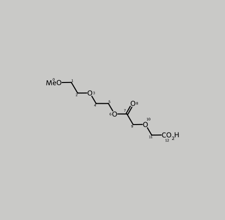 COCCOCCOC(=O)COCC(=O)O